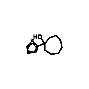 OC1(c2cccs2)CCCCCCC1